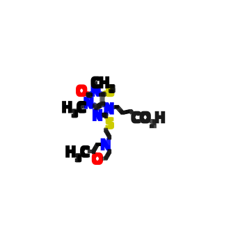 CC1CN(CCSc2nc3c(c(=S)n(C)c(=O)n3C)n2CCCC(=O)O)CCO1